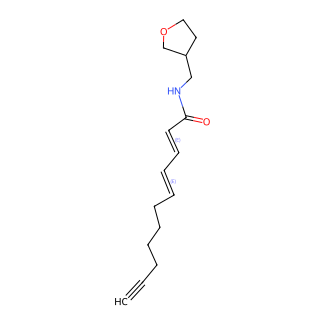 C#CCCCC/C=C/C=C/C(=O)NCC1CCOC1